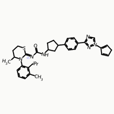 Cc1cccc(N2/C(=N/C(=O)NC3CCC(c4ccc(-c5ncn(C6=CCC=C6)n5)cc4)C3)SCCC2C)c1C(C)C